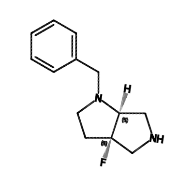 F[C@]12CCN(Cc3ccccc3)[C@H]1CNC2